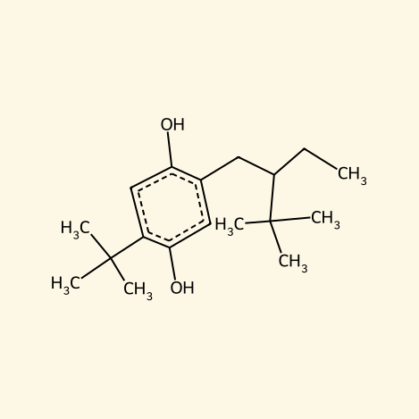 CCC(Cc1cc(O)c(C(C)(C)C)cc1O)C(C)(C)C